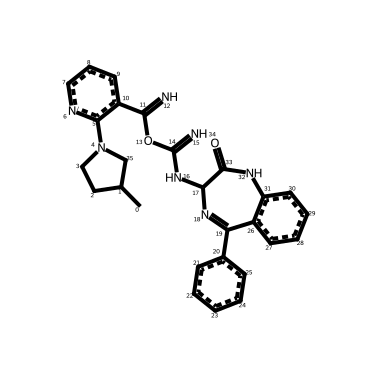 CC1CCN(c2ncccc2C(=N)OC(=N)NC2N=C(c3ccccc3)c3ccccc3NC2=O)C1